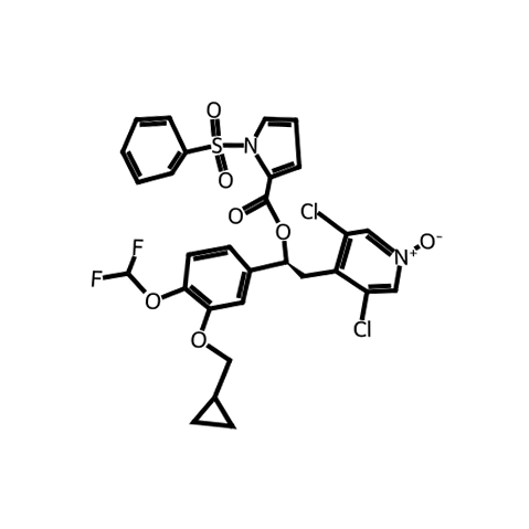 O=C(O[C@@H](Cc1c(Cl)c[n+]([O-])cc1Cl)c1ccc(OC(F)F)c(OCC2CC2)c1)c1cccn1S(=O)(=O)c1ccccc1